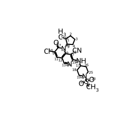 C[C@H]1CCC[C@H]1n1c(=O)c(Cl)cc2cnc(NC3CCN(S(C)(=O)=O)CC3)c(C#N)c21